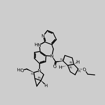 CCO[C@@H]1CC[C@@H]2[C@H]1CC[C@@H]2C(=O)N1Cc2cccnc2Nc2ccc(N3C[C@@H]4CC4[C@H]3CO)cc21